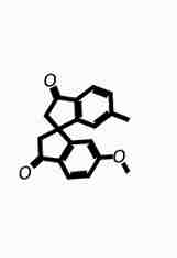 COc1ccc2c(c1)C1(CC(=O)c3ccc(C)cc31)CC2=O